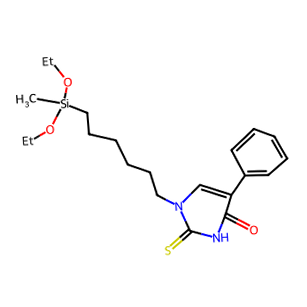 CCO[Si](C)(CCCCCCn1cc(-c2ccccc2)c(=O)[nH]c1=S)OCC